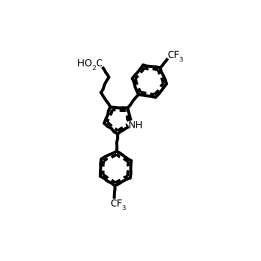 O=C(O)CCc1cc(-c2ccc(C(F)(F)F)cc2)[nH]c1-c1ccc(C(F)(F)F)cc1